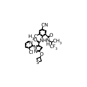 Cc1cc(C#N)cc(C(=O)NC(C)C(F)(F)F)c1NC(=O)c1cc(OC2CSC2)nn1-c1ncccc1Cl